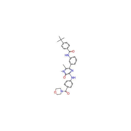 Cc1c(-c2cccc(NC(=O)c3ccc(C(C)(C)C)cc3)c2)nc(Nc2ccc(C(=O)N3CCOCC3)cc2)c(=O)n1C